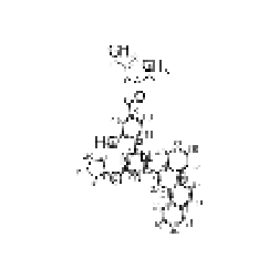 CCCCC(CC)OCc1ccc(-c2nc(OC3CCCC3)nc(-c3cc4c5ccccc5ccc4c4ccccc34)n2)c(O)c1